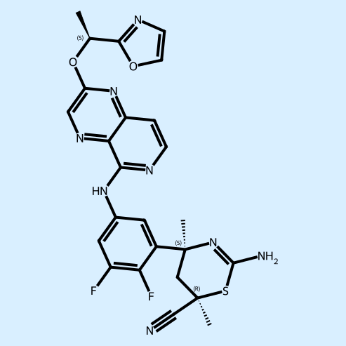 C[C@H](Oc1cnc2c(Nc3cc(F)c(F)c([C@]4(C)C[C@](C)(C#N)SC(N)=N4)c3)nccc2n1)c1ncco1